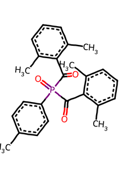 Cc1ccc(P(=O)(C(=O)c2c(C)cccc2C)C(=O)c2c(C)cccc2C)cc1